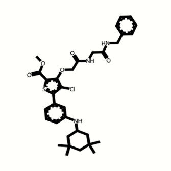 COC(=O)c1sc(-c2cccc(NC3CC(C)(C)CC(C)(C)C3)c2)c(Cl)c1OCC(=O)NCC(=O)NCc1ccccc1